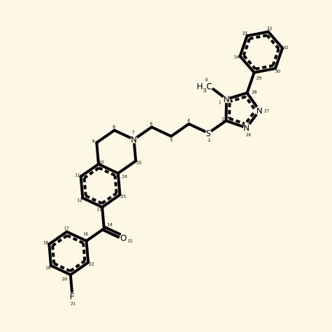 Cn1c(SCCCN2CCc3ccc(C(=O)c4cccc(F)c4)cc3C2)nnc1-c1ccccc1